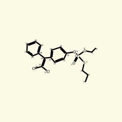 CCCSP(=O)(OCC)Oc1ccc(C(=C(Cl)Cl)c2ccccc2)cc1